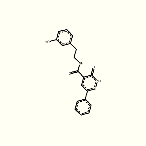 O=C(NCCc1cccc(O)c1)c1cc(-c2ccncc2)n[nH]c1=O